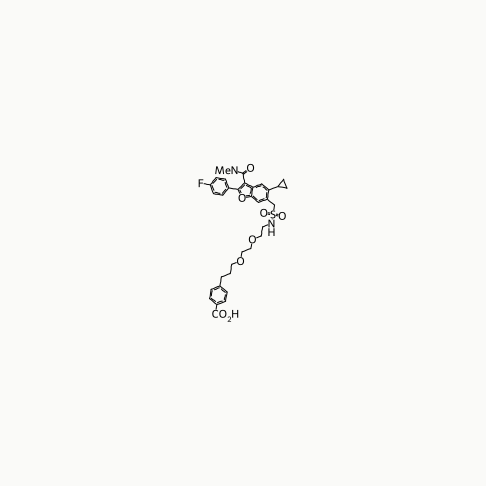 CNC(=O)c1c(-c2ccc(F)cc2)oc2cc(CS(=O)(=O)NCCOCCOCCCc3ccc(C(=O)O)cc3)c(C3CC3)cc12